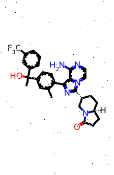 Cc1cc(C(C)(O)c2cccc(C(F)(F)F)c2)ccc1-c1nc([C@@H]2CC[C@H]3CCC(=O)N3C2)n2ccnc(N)c12